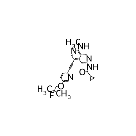 CNc1ncc(C#Cc2ccc(OCC(C)(C)F)cn2)c2cc(NC(=O)C3CC3)ncc12